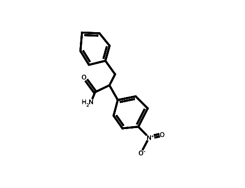 NC(=O)C(Cc1ccccc1)c1ccc([N+](=O)[O-])cc1